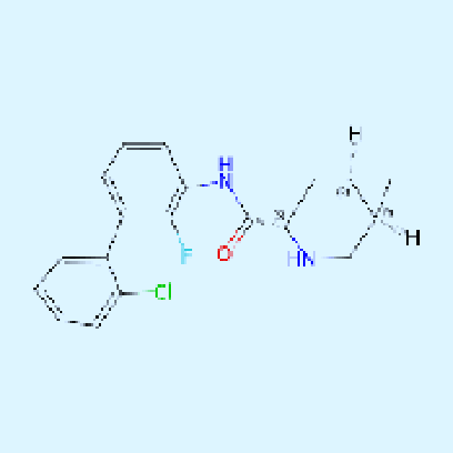 O=C(Nc1cccc(-c2ccccc2Cl)c1F)[C@@H]1C[C@H]2C[C@H]2CN1